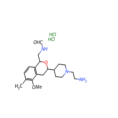 COc1c(C)ccc2c1CC(C1CCN(CCN)CC1)OC2CNC=O.Cl.Cl